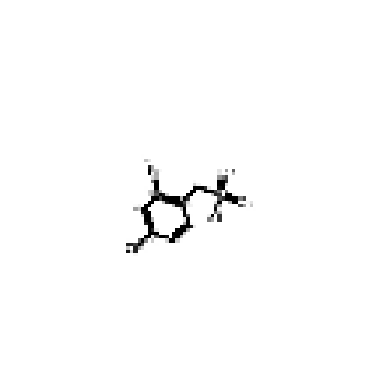 O=S(=O)(Cl)Cc1ccc(Cl)cc1Br